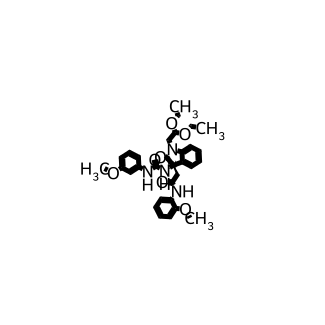 CCOC(CN1C(=O)[C@@](CC(=O)Nc2ccccc2OC)(NC(=O)Nc2cccc(OC)c2)c2ccccc21)OCC